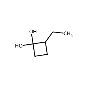 CCC1CCC1(O)O